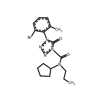 CCCN(C(=O)n1nnn(-c2c(C)cccc2Br)c1=O)C1CCCC1